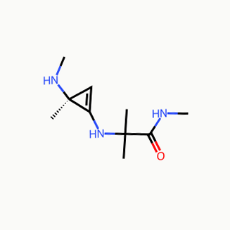 CNC(=O)C(C)(C)NC1=C[C@]1(C)NC